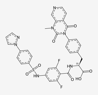 Cn1c(=O)n(-c2ccc(C[C@H](NC(=O)c3c(F)cc(NS(=O)(=O)c4ccc(-n5cccn5)cc4)cc3F)C(=O)O)cc2)c(=O)c2ccncc21